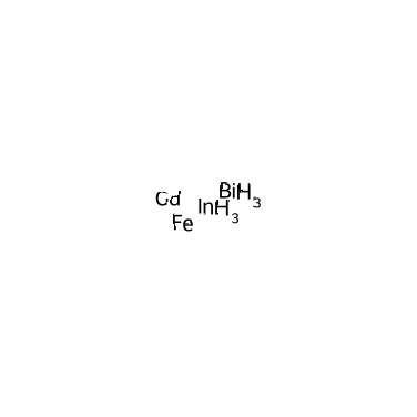 [BiH3].[Fe].[Gd].[InH3]